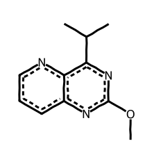 COc1nc(C(C)C)c2ncccc2n1